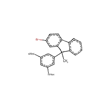 CCCCCCc1cc(CCCCCC)cc(C2(C)c3ccccc3-c3ccc(Br)cc32)c1